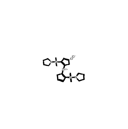 C[Si](C)(C1=[C]([Zr+2][C]2=C([Si](C)(C)N3CCCC3)C=CC2)CC=C1)N1CCCC1.[Cl-].[Cl-]